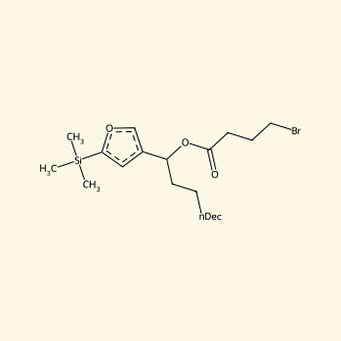 CCCCCCCCCCCCC(OC(=O)CCCBr)c1coc([Si](C)(C)C)c1